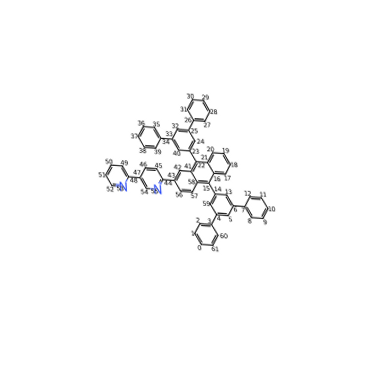 c1ccc(-c2cc(-c3ccccc3)cc(-c3c4ccccc4c(-c4cc(-c5ccccc5)cc(-c5ccccc5)c4)c4cc(-c5ccc(-c6ccccn6)cn5)ccc34)c2)cc1